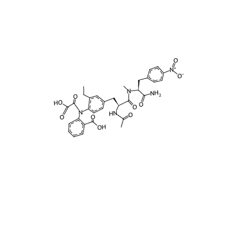 CCc1cc(C[C@H](NC(C)=O)C(=O)N(C)[C@@H](Cc2ccc([N+](=O)[O-])cc2)C(N)=O)ccc1N(C(=O)C(=O)O)c1ccccc1C(=O)O